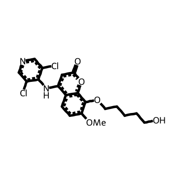 COc1ccc2c(Nc3c(Cl)cncc3Cl)cc(=O)oc2c1OCCCCCO